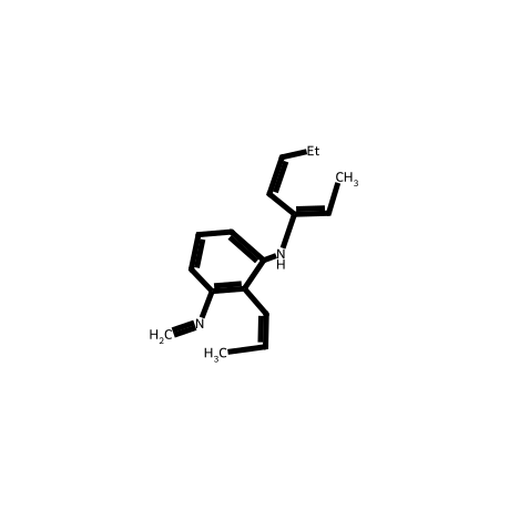 C=Nc1cccc(NC(/C=C\CC)=C/C)c1/C=C\C